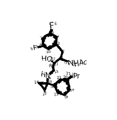 CC(=O)NC(Cc1cc(F)cc(F)c1)[C@H](O)CNC1(c2cccc(C(C)C)c2)CC1